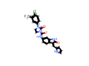 O=C1Nc2cc(NC(=O)N3CCN(c4ccc(Cl)c(C(F)(F)F)c4)C3=O)ccc2/C1=C/c1ccc[nH]1